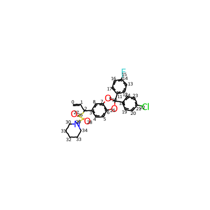 C=CC(c1ccc2c(c1)OC(c1ccc(F)cc1)(c1ccc(Cl)cc1)O2)S(=O)(=O)N1CCCCC1